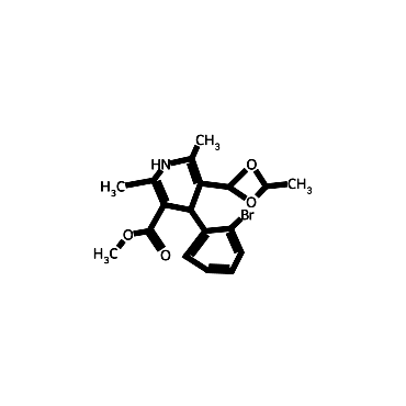 COC(=O)C1=C(C)NC(C)=C(C2OC(C)O2)C1c1ccccc1Br